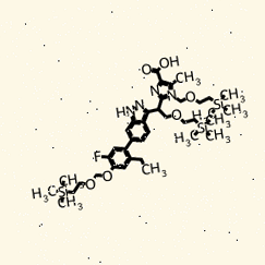 CCc1cc(OCOCC[Si](C)(C)C)c(F)cc1-c1ccc2c(C(COCC[Si](C)(C)C)c3nc(C(=O)O)c(C)n3COCC[Si](C)(C)C)n[nH]c2c1